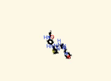 C=CC(=O)N[C@H]1CC[C@@H](Nc2nc(Nc3cnn(CCN4CCOCC4)c3)nc3ccsc23)CC1